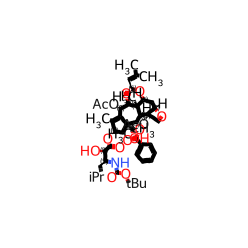 CC(=O)O[C@H]1C2=C(C)[C@@H](OC(=O)[C@H](O)[C@H](CC(C)C)NC(=O)OC(C)(C)C)C[C@@]2(C(C)(C)O)[C@@H](OC(=O)c2ccccc2)[C@@H]2[C@]3(OC(C)=O)CO[C@@H]3C[C@@H]3O[C@H](C=C(C)C)O[C@@H]1[C@]32C